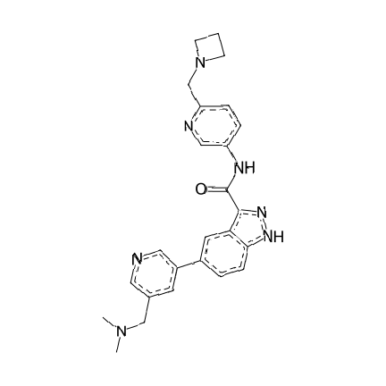 CN(C)Cc1cncc(-c2ccc3[nH]nc(C(=O)Nc4ccc(CN5CCC5)nc4)c3c2)c1